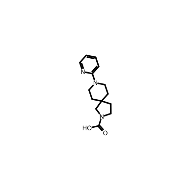 O=C(O)N1CCC2(CCN(c3ccccn3)CC2)C1